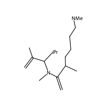 C=C(C)C(C(C)C)N(C)C(=C)C(C)CCCCNC